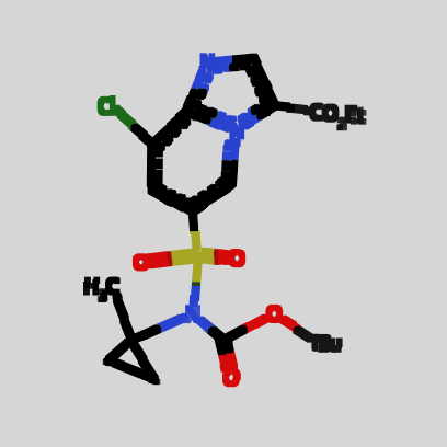 CCOC(=O)c1cnc2c(Cl)cc(S(=O)(=O)N(C(=O)OC(C)(C)C)C3(C)CC3)cn12